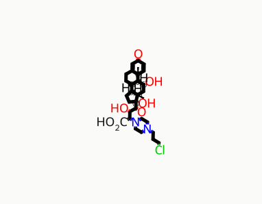 C[C@]12C=CC(=O)C=C1CC[C@@H]1[C@@H]2[C@@H](O)C[C@@]2(C)[C@H]1CC[C@]2(O)C(=O)C(O)C(C(=O)O)N1CCN(CCCCl)CC1